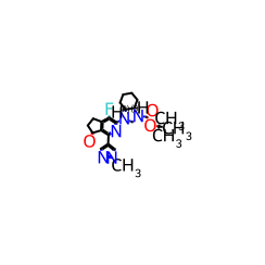 Cn1cc(-c2nc(N3CN(C(=O)OC(C)(C)C)[C@H]4CCCC[C@H]43)c(F)c3c2C(=O)CC3)cn1